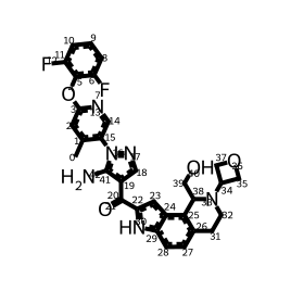 Cc1cc(Oc2c(F)cccc2F)ncc1-n1ncc(C(=O)c2cc3c4c(ccc3[nH]2)CCN(C2COC2)C4CO)c1N